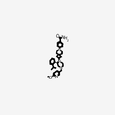 COc1ccc(CN2CCN(C3CC4(CCN(c5ccc(C(N)=O)cc5)CC4)C3)[C@H](c3ccccc3C(C)C)C2)cn1